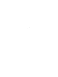 CCOc1ccc(Cl)nc1CO